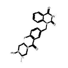 CCCN1CCN(C(=O)c2cc(Cn3c(=O)[nH]c(=O)c4ccccc43)ccc2F)C[C@@H]1C